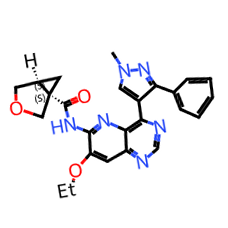 CCOc1cc2ncnc(-c3cn(C)nc3-c3ccccc3)c2nc1NC(=O)[C@]12COC[C@H]1C2